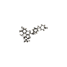 COc1c([C@H]2[C@H](C(=O)Nc3ccc(CC4CCNCC4)nc3)O[C@@](C)(C(F)(F)F)[C@H]2C)ccc(F)c1F